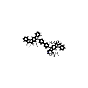 C=Cc1c(/C=C\C)n(-c2ccc(-c3ccc(-n4c5ccccc5c5cc6c(cc54)C(C)(C)c4cc5ccccc5n4-6)cc3)cc2)c2cc3c(cc12)-n1c(cc2ccccc21)C3(C)C